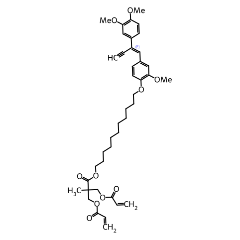 C#C/C(=C\c1ccc(OCCCCCCCCCCCOC(=O)C(C)(COC(=O)C=C)COC(=O)C=C)c(OC)c1)c1ccc(OC)c(OC)c1